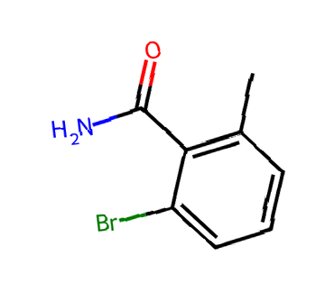 Cc1cccc(Br)c1C(N)=O